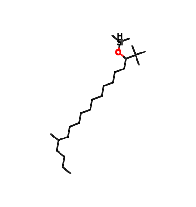 CCCCC(C)CCCCCCCCCCCC(O[SiH](C)C)C(C)(C)C